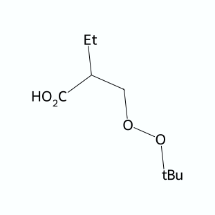 CCC(COOC(C)(C)C)C(=O)O